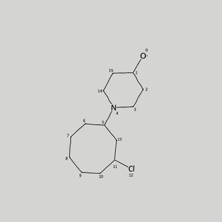 [O]C1CCN(C2CCCCCC(Cl)C2)CC1